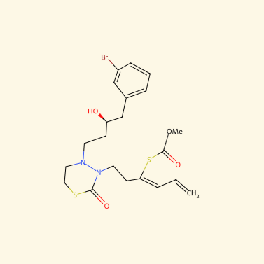 C=C/C=C(/CCN1C(=O)SCCN1CC[C@@H](O)Cc1cccc(Br)c1)SC(=O)OC